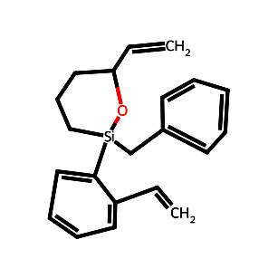 C=Cc1ccccc1[Si]1(Cc2ccccc2)CCCC(C=C)O1